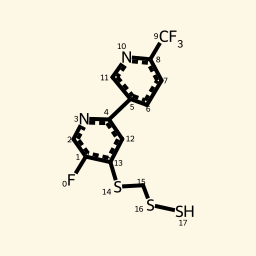 Fc1cnc(-c2ccc(C(F)(F)F)nc2)cc1SCSS